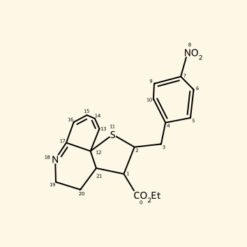 CCOC(=O)C1C(Cc2ccc([N+](=O)[O-])cc2)SC23C=CC=CC2=NCCC13